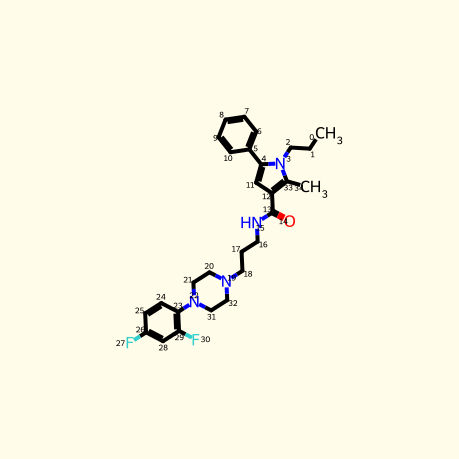 CCCn1c(-c2ccccc2)cc(C(=O)NCCCN2CCN(c3ccc(F)cc3F)CC2)c1C